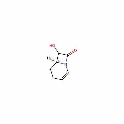 O=C1C(O)[C@@H]2CCC=CN12